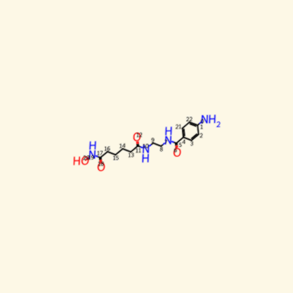 Nc1ccc(C(=O)NCCNC(=O)CCCCC(=O)NO)cc1